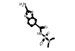 CN(C)S(=O)(=O)NC(=O)c1ccc2nc(N)sc2c1